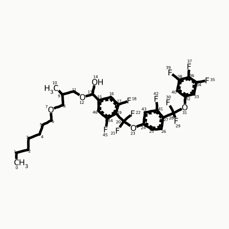 CCCCCCCOCC(C)COC(O)c1cc(F)c(C(F)(F)Oc2ccc(C(F)(F)Oc3cc(F)c(F)c(F)c3)c(F)c2)c(F)c1